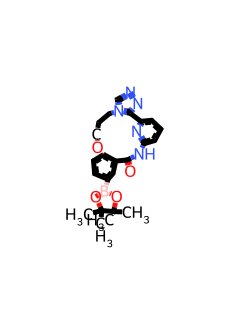 CC1(C)OB(c2ccc3c(c2)C(=O)Nc2cccc(n2)-c2nncn2CCCO3)OC1(C)C